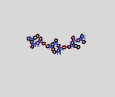 c1ccc(-n2c3ccc(-n4c5ccccc5c5cc6c7cc(-c8ccc(-n9c%10ccc(-n%11c%12ccccc%12c%12cc%13c%14cc(-c%15ccc(-n%16c%17ccccc%17c%17cc(-n%18c%19ccccc%19c%19cc%20c%21ccccc%21n%21c%22cc%23ccccc%23cc%22c(c%19%18)c%20%21)ncc%17%16)cc%15)ccc%14n%14c%15cc%16ccccc%16cc%15c(c%12%11)c%13%14)cc%10c%10ccncc%109)cc8)ccc7n7c8cc9ccccc9cc8c(c54)c67)cc3c3cccnc32)cc1